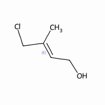 C/C(=C\CO)CCl